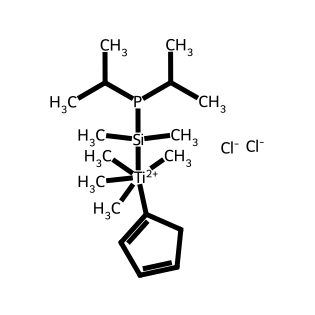 CC(C)P(C(C)C)[Si](C)(C)[Ti+2]([CH3])([CH3])([CH3])([CH3])[C]1=CC=CC1.[Cl-].[Cl-]